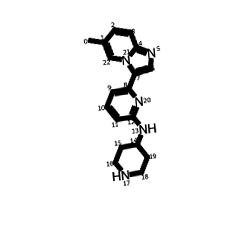 Cc1ccc2ncc(-c3cccc(NC4CCNCC4)n3)n2c1